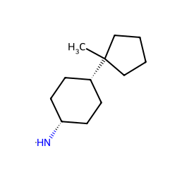 CC1([C@H]2CC[C@@H]([NH])CC2)CCCC1